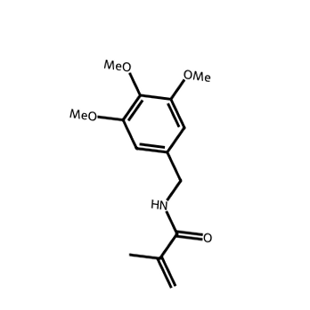 C=C(C)C(=O)NCc1cc(OC)c(OC)c(OC)c1